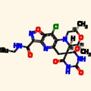 C[C@H]1CN2c3c(nc4c(C(=O)NCC(C)(C)C)noc4c3Cl)CC3(C(=O)NC(=O)NC3=O)[C@@H]2[C@@H](C)O1